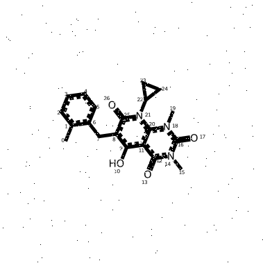 Cc1ccccc1Cc1c(O)c2c(=O)n(C)c(=O)n(C)c2n(C2CC2)c1=O